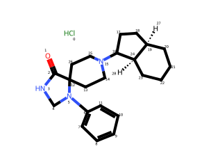 Cl.O=C1NCN(c2ccccc2)C12CCN(C1CC[C@H]3CCCC[C@@H]13)CC2